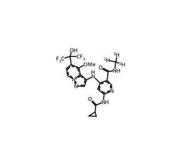 [2H]C([2H])([2H])NC(=O)c1cnc(NC(=O)C2CC2)cc1Nc1cnn2ccc(C(O)(C(F)(F)F)C(F)(F)F)c(OC)c12